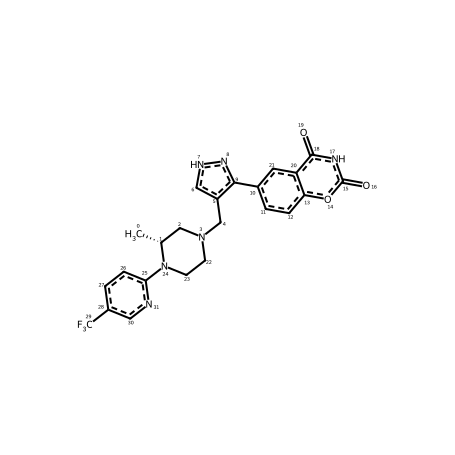 C[C@@H]1CN(Cc2c[nH]nc2-c2ccc3oc(=O)[nH]c(=O)c3c2)CCN1c1ccc(C(F)(F)F)cn1